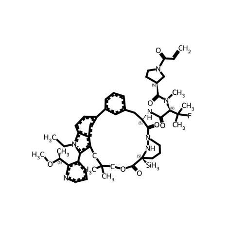 C=CC(=O)N1CC[C@H](C(=O)N(C)[C@H](C(=O)N[C@H]2Cc3cccc(c3)-c3ccc4c(c3)c(c(-c3cccnc3[C@H](C)OC)n4CC)CC(C)(C)COC(=O)[C@@]3([SiH3])CCCN(N3)C2=O)C(C)(C)F)C1